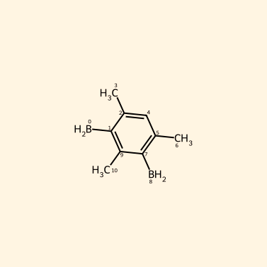 Bc1c(C)cc(C)c(B)c1C